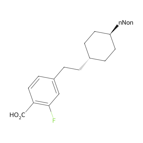 CCCCCCCCC[C@H]1CC[C@H](CCc2ccc(C(=O)O)c(F)c2)CC1